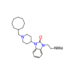 CNCCn1c(=O)n(C2CCN(CC3CCCCCCC3)CC2)c2ccccc21